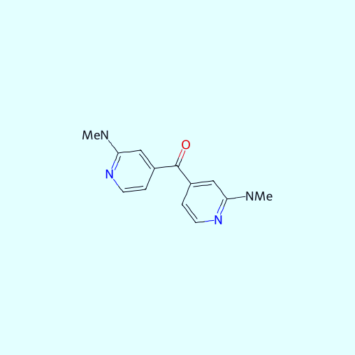 CNc1cc(C(=O)c2ccnc(NC)c2)ccn1